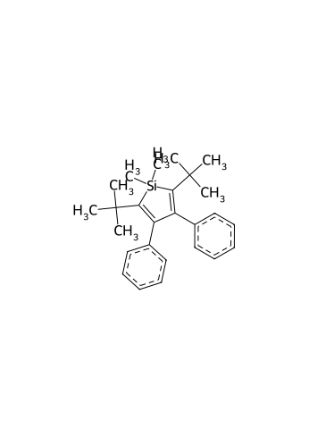 CC(C)(C)C1=C(c2ccccc2)C(c2ccccc2)=C(C(C)(C)C)[Si]1(C)C